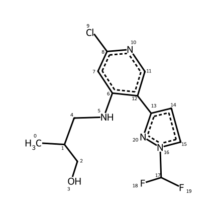 CC(CO)CNc1cc(Cl)ncc1-c1ccn(C(F)F)n1